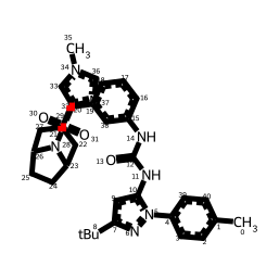 Cc1ccc(-n2nc(C(C)(C)C)cc2NC(=O)Nc2cccc(CC3CC4CCC(C3)N4S(=O)(=O)c3cn(C)cn3)c2)cc1